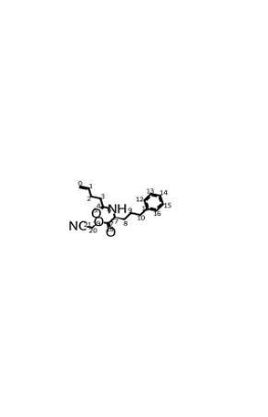 C=CCCC(=O)N[C@@H](CCCc1ccccc1)C(=O)OCC#N